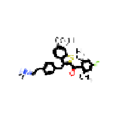 CCNCCc1ccc(Cc2c(C(=O)c3c(C)cc(F)cc3C)sc3cc(C(=O)O)ccc23)cc1